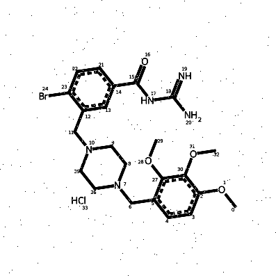 COc1ccc(CN2CCN(Cc3cc(C(=O)NC(=N)N)ccc3Br)CC2)c(OC)c1OC.Cl